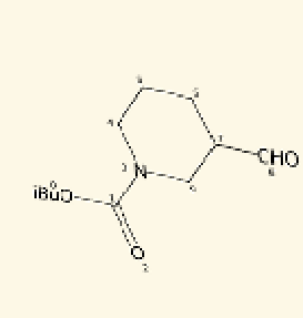 CC(C)COC(=O)N1CCCC(C=O)C1